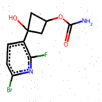 NC(=O)OC1CC(O)(c2ccc(Br)nc2F)C1